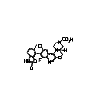 Cc1ccc2[nH]c(=O)oc2c1-c1c(Cl)cc2c3c(cnc2c1F)OC[C@H]1CN(C(=O)O)CCN31